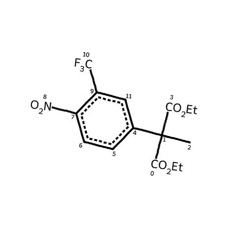 CCOC(=O)C(C)(C(=O)OCC)c1ccc([N+](=O)[O-])c(C(F)(F)F)c1